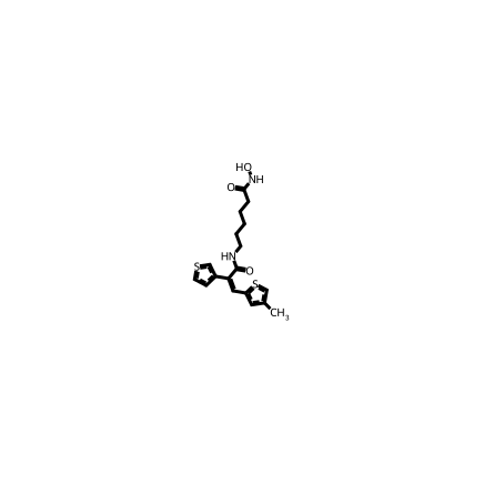 Cc1csc(C=C(C(=O)NCCCCCC(=O)NO)c2ccsc2)c1